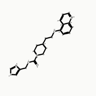 O=C(OCc1cscn1)N1CCC(CCOc2cccc3ncccc23)CC1